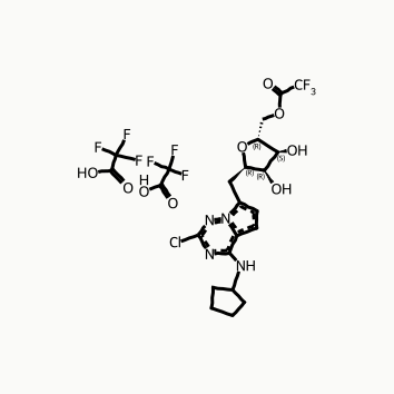 O=C(O)C(F)(F)F.O=C(O)C(F)(F)F.O=C(OC[C@H]1O[C@H](Cc2ccc3c(NC4CCCC4)nc(Cl)nn23)[C@H](O)[C@@H]1O)C(F)(F)F